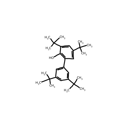 CC(C)(C)c1cc(-c2cc(C(C)(C)C)cc(C(C)(C)C)c2O)cc(C(C)(C)C)c1